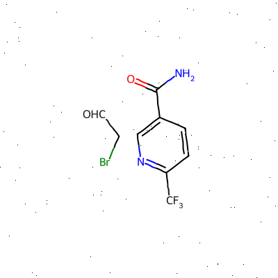 NC(=O)c1ccc(C(F)(F)F)nc1.O=CCBr